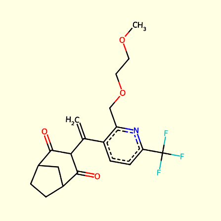 C=C(c1ccc(C(F)(F)F)nc1COCCOC)C1C(=O)C2CCC(C2)C1=O